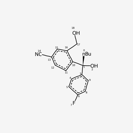 CCCC[C@@](O)(c1ccc(F)cc1)c1ccc(C#N)cc1CO